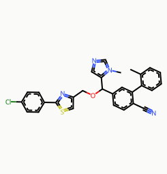 Cc1ccccc1-c1cc(C(OCc2csc(-c3ccc(Cl)cc3)n2)c2cncn2C)ccc1C#N